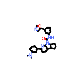 CN(C)c1cccc(-c2ccc3c(n2)N(C(=O)Nc2cccc(-c4cnco4)c2)C2CCCC32)c1